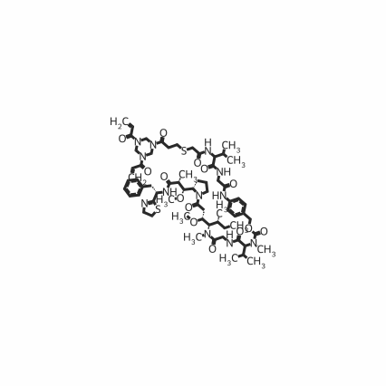 C=CC(=O)N1CN(C(=O)C=C)CN(C(=O)CCSCC(=O)NC(C(=O)NCC(=O)Nc2ccc(COC(=O)N(C)C(C(=O)NCC(=O)N(C)[C@@H]([C@H](C)CC)[C@@H](CC(=O)N3CCC[C@H]3[C@H](OC)[C@@H](C)C(=O)N[C@@H](Cc3ccccc3)C3=NCCS3)OC)C(C)C)cc2)C(C)C)C1